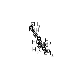 CCc1cc(C(C)=O)cc(C)c1C(=O)NC(Cc1ccc(N2CCC(CNc3cc(C)ccn3)CC2)cc1)C(=O)O